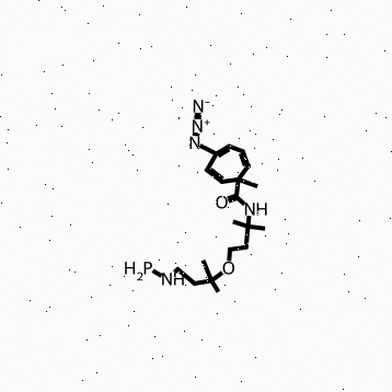 CC(C)(CCOC(C)(C)CCNP)NC(=O)C1(C)C=CC=C(N=[N+]=[N-])C=C1